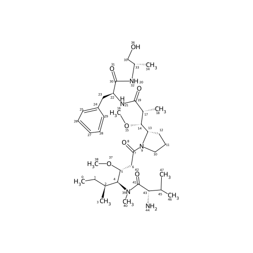 CC[C@H](C)[C@@H]([C@@H](CC(=O)N1CCC[C@H]1[C@H](OC)[C@@H](C)C(=O)N[C@@H](Cc1ccccc1)C(=O)N[C@@H](C)CO)OC)N(C)C(=O)[C@@H](N)C(C)C